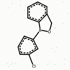 Clc1cccc(B2OCc3ccccc32)c1